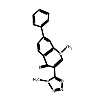 Cn1nnnc1-c1cn(C)c2cc(-c3ccccc3)ccc2c1=S